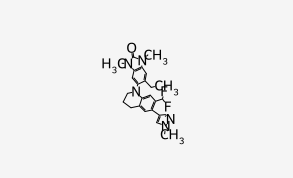 CCc1cc2c(cc1N1CCCc3cc(-c4cnn(C)c4)c(C(F)F)cc31)n(C)c(=O)n2C